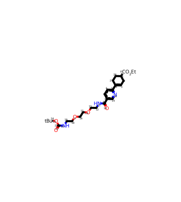 CCOC(=O)C1CC=C(c2ccc(C(=O)NCCOCCOCCNC(=O)OC(C)(C)C)cn2)CC1